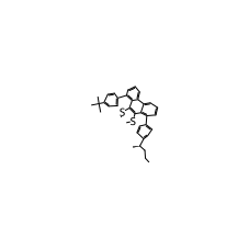 CCC[C@@H](C)c1ccc(-c2cccc3c2c(SC)c(SC)c2c(-c4ccc(C(C)(C)C)cc4)cccc23)cc1